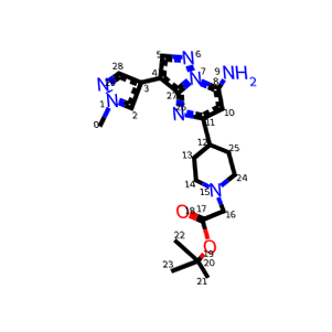 Cn1cc(-c2cnn3c(N)cc(C4CCN(CC(=O)OC(C)(C)C)CC4)nc23)cn1